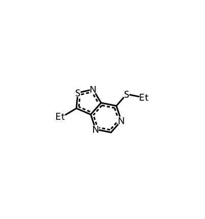 CCSc1ncnc2c(CC)snc12